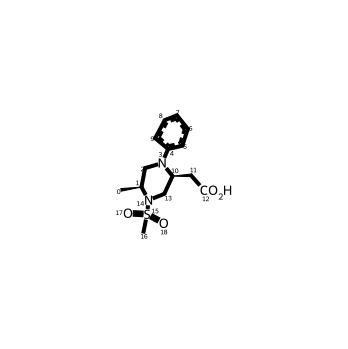 C[C@H]1CN(c2ccccc2)[C@@H](CC(=O)O)CN1S(C)(=O)=O